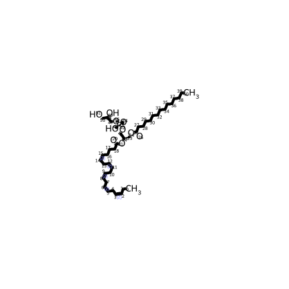 CC/C=C\C/C=C\C/C=C\C/C=C\C/C=C\CCCC(=O)O[C@H](COC(=O)CCCCCCCCCCCCCC)COP(=O)(O)OC[C@@H](O)CO